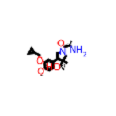 COc1ccc(C2CN(C(=O)[C@@H](C)N)CC2(C)[C@@H](C)O)cc1OCC1CC1